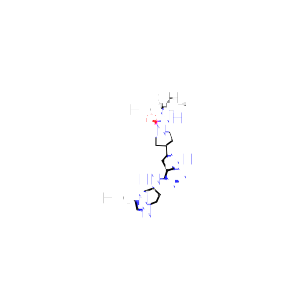 Cc1cnc2ccc(Nc3ncnc4[nH]c(C5=CCN(C(=O)NC(C)(C)C)CC5)cc34)cn12